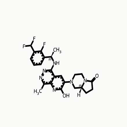 Cc1nnc(N[C@H](C)c2cccc(C(F)F)c2F)c2cc(N3CCN4C(=O)CC[C@@H]4C3)c(O)nc12